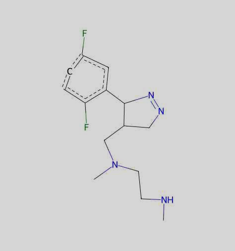 CNCCN(C)CC1CN=NC1c1cc(F)ccc1F